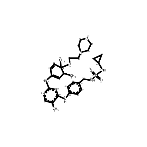 Cc1cnc(NC2=CC(C)C(C)(OCCN3CCOCC3)C=C2)nc1Nc1ccc(CNS(=O)(=O)NC2CC2)cc1